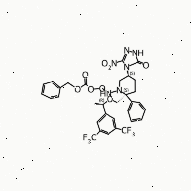 C[C@@H](OC[C@@]1(c2ccccc2)CC[C@H](n2c([N+](=O)[O-])n[nH]c2=O)CN1NOOC(=O)OCc1ccccc1)c1cc(C(F)(F)F)cc(C(F)(F)F)c1